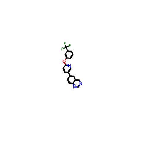 FC(F)(F)c1cccc(Oc2ccc(-c3ccc4ncncc4c3)cn2)c1